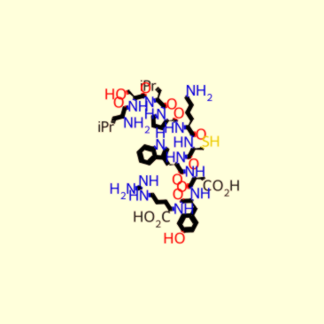 CC(C)C[C@H](NC(=O)[C@H](CO)NC(=O)[C@@H](N)CC(C)C)C(=O)N1CCC[C@H]1C(=O)N[C@@H](CCCCN)C(=O)N[C@@H](CS)C(=O)N[C@@H](Cc1c[nH]c2ccccc12)C(=O)N[C@@H](CC(=O)O)C(=O)N[C@@H](Cc1ccc(O)cc1)C(=O)N[C@@H](CCCNC(=N)N)C(=O)O